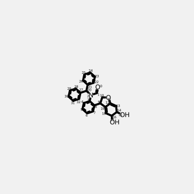 O=CN(c1ccccc1C1COC2=CC(O)C(O)C=C21)C(c1ccccc1)c1ccccc1